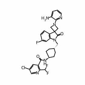 Nc1cccnc1N1CC2(C1)C(=O)N(C[C@H]1CC[C@H](NC(=O)c3cc(Cl)cnc3C(F)F)CC1)c1cc(F)ccc12